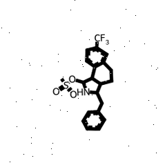 CS(=O)(=O)OC1NC(Cc2ccccc2)C2CCc3cc(C(F)(F)F)ccc3C12